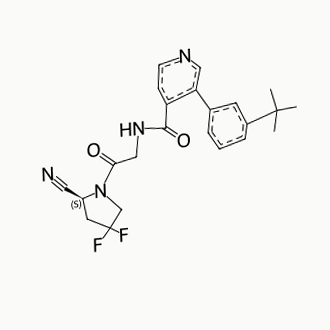 CC(C)(C)c1cccc(-c2cnccc2C(=O)NCC(=O)N2CC(F)(F)C[C@H]2C#N)c1